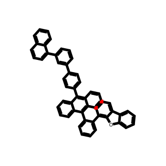 c1cc(-c2ccc(-c3c4ccccc4c(-c4ccccc4-c4cccc5c4oc4ccccc45)c4ccccc34)cc2)cc(-c2cccc3ccccc23)c1